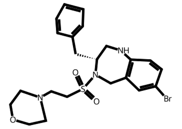 O=S(=O)(CCN1CCOCC1)N1Cc2cc(Br)ccc2NC[C@H]1Cc1ccccc1